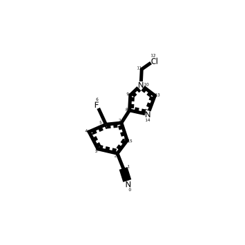 N#Cc1ccc(F)c(-c2cn(CCl)cn2)c1